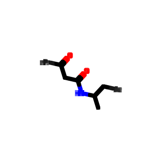 CCCC(=O)CC(=O)NC(C)CC(C)=O